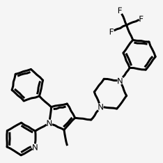 Cc1c(CN2CCN(c3cccc(C(F)(F)F)c3)CC2)cc(-c2ccccc2)n1-c1ccccn1